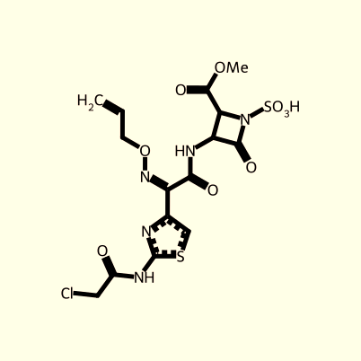 C=CCON=C(C(=O)NC1C(=O)N(S(=O)(=O)O)C1C(=O)OC)c1csc(NC(=O)CCl)n1